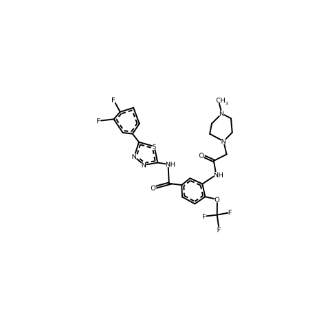 CN1CCN(CC(=O)Nc2cc(C(=O)Nc3nnc(-c4ccc(F)c(F)c4)s3)ccc2OC(F)(F)F)CC1